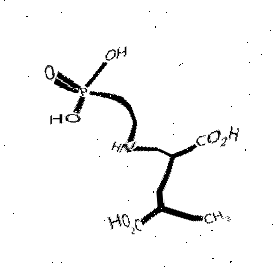 CC(C(=O)O)C(NCP(=O)(O)O)C(=O)O